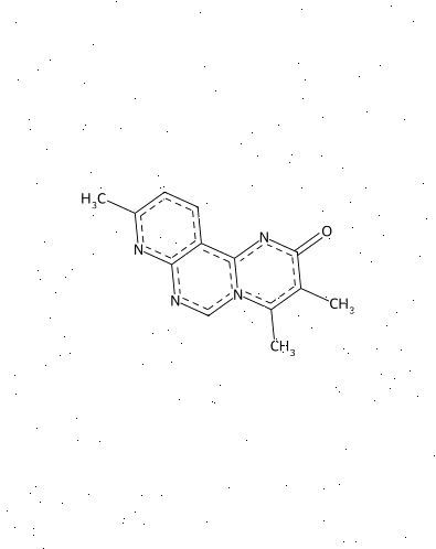 Cc1ccc2c(ncn3c(C)c(C)c(=O)nc23)n1